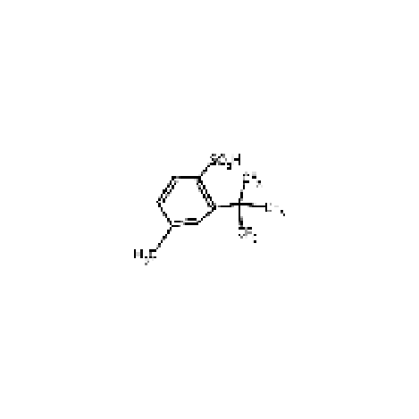 Cc1ccc(S(=O)(=O)O)c(C(C(F)(F)F)(C(F)(F)F)C(F)(F)F)c1